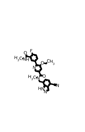 CCOc1cc(C(=O)N(C)Cc2ccc(C#N)c3cn[nH]c23)cnc1-c1ccc(F)c(C(=O)NC)c1